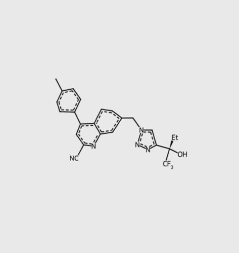 CC[C@](O)(c1cn(Cc2ccc3c(-c4ccc(C)cc4)cc(C#N)nc3c2)nn1)C(F)(F)F